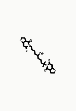 CC(C)(CCCC(O)CCCCN1C(=S)C=C2SCCC2C1=S)N1C(=S)C=C2SCCC2C1=S